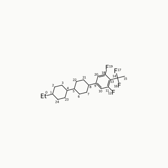 CCC1CCC(C2CCC(c3cc(F)c(C(C)(F)F)c(F)c3)CC2)CC1